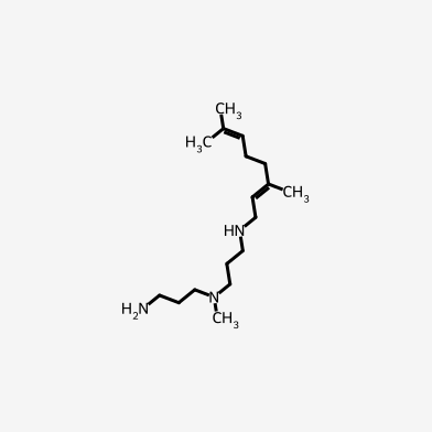 CC(C)=CCCC(C)=CCNCCCN(C)CCCN